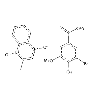 C=C(C=O)c1cc(Br)c(O)c(OC)c1.Cc1c[n+]([O-])c2ccccc2[n+]1[O-]